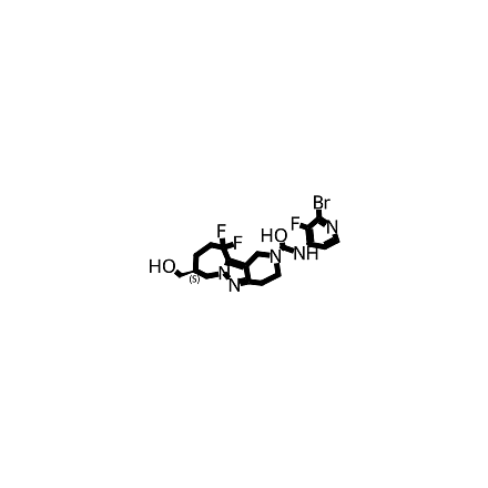 OC[C@H]1CCC(F)(F)c2c3c(nn2C1)CCN(C(O)Nc1ccnc(Br)c1F)C3